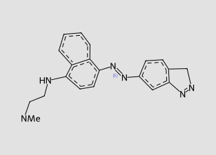 CNCCNc1ccc(/N=N/c2ccc3c(c2)N=NC3)c2ccccc12